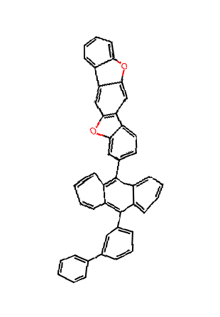 c1ccc(-c2cccc(-c3c4ccccc4c(-c4ccc5c(c4)oc4cc6c(cc45)oc4ccccc46)c4ccccc34)c2)cc1